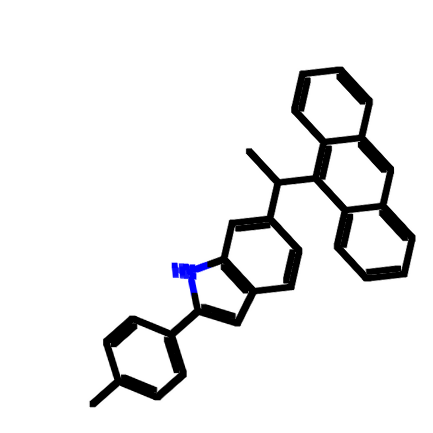 Cc1ccc(-c2cc3ccc(C(C)c4c5ccccc5cc5ccccc45)cc3[nH]2)cc1